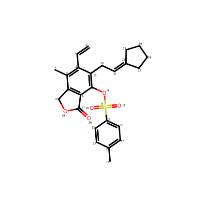 C=Cc1c(C)c2c(c(OS(=O)(=O)c3ccc(C)cc3)c1CC=C1CCCC1)C(=O)OC2